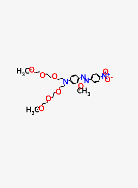 COCCOCCOCCN(CCOCCOCCOC)c1ccc(N=Nc2ccc([N+](=O)[O-])cc2)c(OC)c1